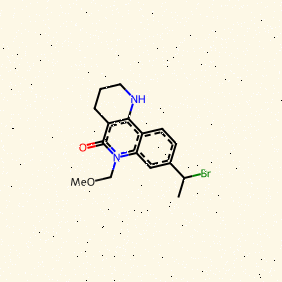 COCn1c(=O)c2c(c3ccc(C(C)Br)cc31)NCCC2